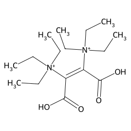 CC[N+](CC)(CC)/C(C(=O)O)=C(/C(=O)O)[N+](CC)(CC)CC